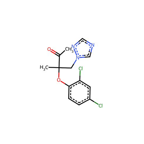 CC(=O)C(C)(Cn1cncn1)Oc1ccc(Cl)cc1Cl